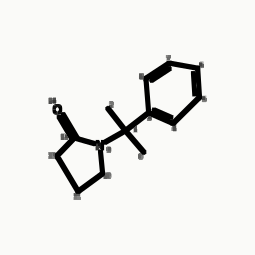 CC(C)(c1ccccc1)N1CCCC1=O